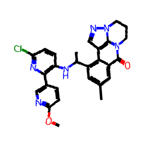 COc1ccc(-c2nc(Cl)ccc2NC(C)c2cc(C)cc3c(=O)n4c5c(cnn5CCC4)c23)cn1